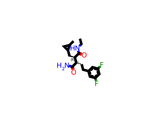 CCNC(=O)[C@H](CC1CC1C)[C@H](CCc1cc(F)cc(F)c1)C(N)=O